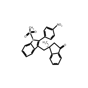 C[C@]1(Cc2c(-c3ccc([N+](=O)[O-])cc3)n(S(C)(=O)=O)c3ccccc23)CC(=O)c2ccccc21